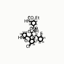 CCOC(=O)Nc1cccc(S(=O)(=O)NC(=O)c2c(-c3ccc[nH]c3=O)c3cc(Cl)ccc3n2Cc2ccccc2F)c1